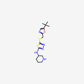 CC(C)(C)c1cnc(CSc2nnc(NC3CCCNC3)s2)o1